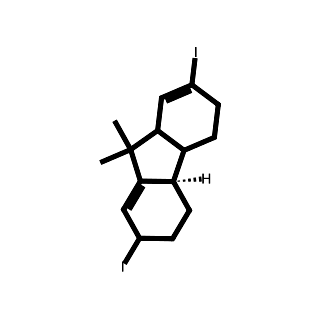 CC1(C)C2=CC(I)CC[C@@H]2C2CCC(I)=CC21